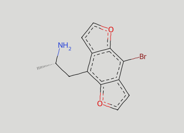 C[C@H](N)Cc1c2ccoc2c(Br)c2ccoc12